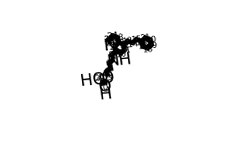 O=[PH](O)OCCCNCc1ccc(CCCc2ccccc2)c2cccnc12